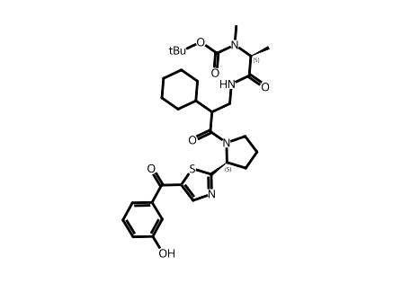 C[C@@H](C(=O)NCC(C(=O)N1CCC[C@H]1c1ncc(C(=O)c2cccc(O)c2)s1)C1CCCCC1)N(C)C(=O)OC(C)(C)C